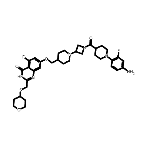 Nc1ccc(N2CCC(C(=O)N3CC(N4CCC(COc5cc(F)c6c(=O)[nH]c(CSC7CCOCC7)nc6c5)CC4)C3)CC2)c(F)c1